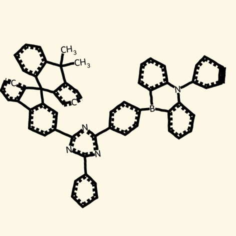 CC1(C)c2ccccc2C2(c3ccccc3-c3ccc(-c4nc(-c5ccccc5)nc(-c5ccc(B6c7ccccc7N(c7cc#ccc7)c7ccccc76)cc5)n4)cc32)c2ccccc21